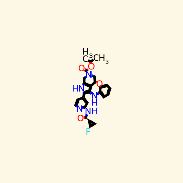 CC(C)OC(=O)N1CC(=O)c2c([nH]c(-c3ccnc(NC(=O)[C@@H]4C[C@@H]4F)c3)c2Nc2ccccc2)C1